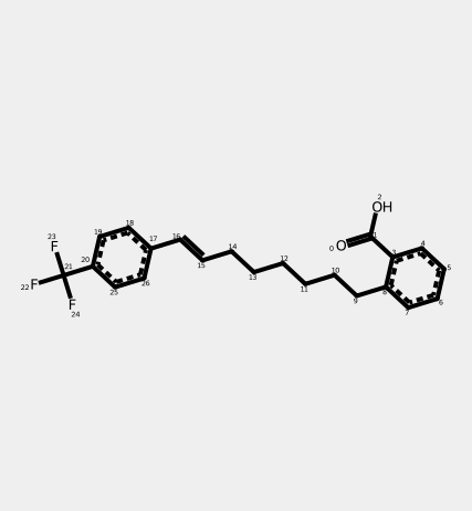 O=C(O)c1ccccc1CCCCCCC=Cc1ccc(C(F)(F)F)cc1